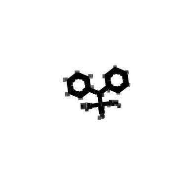 NP(N)(=S)N(c1ccccc1)c1ccccc1